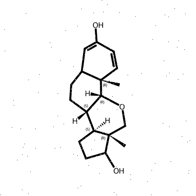 C[C@]12C=CC(O)=CC1CC[C@@H]1[C@H]2OC[C@]2(C)C(O)CC[C@@H]12